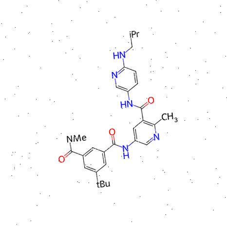 CNC(=O)c1cc(C(=O)Nc2cnc(C)c(C(=O)Nc3ccc(NCC(C)C)nc3)c2)cc(C(C)(C)C)c1